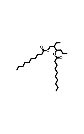 CCCCCCCCCC(=O)OCC(CC)C(CCC)OC(=O)CCCCCCCCC